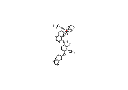 CC#CC(=O)N1C2CCP1CN(c1ccc3ncnc(Nc4ccc(Oc5ccn6ncnc6c5)c(C)c4F)c3n1)C2